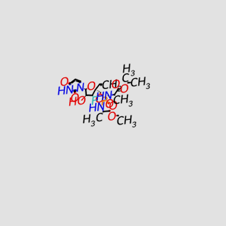 C=C[C@]1(COP(=O)(N[C@@H](C)C(=O)OCC)N[C@@H](C)C(=O)OC(C)C)O[C@@H](n2ccc(=O)[nH]c2=O)[C@H](O)[C@@H]1F